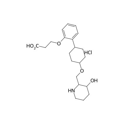 Cl.O=C(O)CCOc1ccccc1C1CCC(OCC2NCCCC2O)CC1